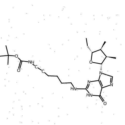 CC[C@H]1O[C@@H](n2cnc3c(=O)[nH]c(NCCCCCCNC(=O)OC(C)(C)C)nc32)[C@H](C)[C@@H]1C